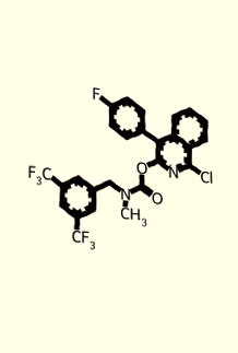 CN(Cc1cc(C(F)(F)F)cc(C(F)(F)F)c1)C(=O)Oc1nc(Cl)c2ccccc2c1-c1ccc(F)cc1